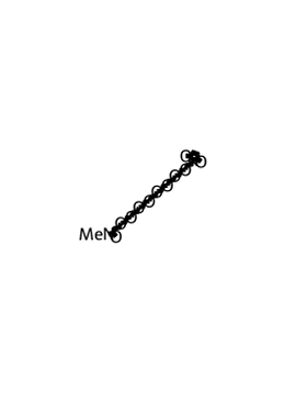 CNC(=O)CCOCCOCCOCCOCCOCCOCCOCCOCCN1C(=O)C=CC1=O